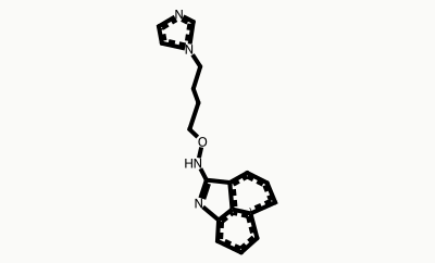 c1cc2c3c(cccc3c1)C(NOCCCCn1ccnc1)=N2